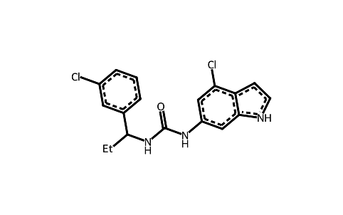 CCC(NC(=O)Nc1cc(Cl)c2cc[nH]c2c1)c1cccc(Cl)c1